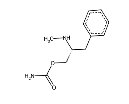 CN[C@@H](COC(N)=O)Cc1ccccc1